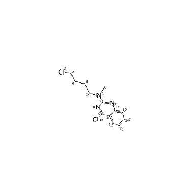 CN(CCCCCl)c1nc(Cl)c2ccccc2n1